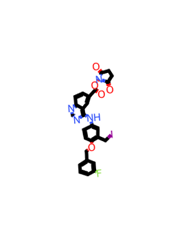 O=C(ON1C(=O)CCC1=O)c1ccc2ncnc(Nc3ccc(OCc4cccc(F)c4)c(CI)c3)c2c1